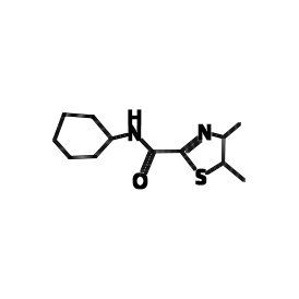 CC1N=C(C(=O)NC2CCCCC2)SC1C